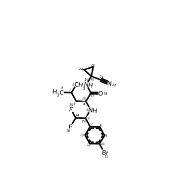 CC(C)C[C@H](N[C@@H](c1ccc(Br)cc1)C(F)F)C(=O)NC1(C#N)CC1